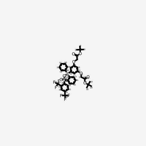 CC(C)(C)OC(=O)COc1cc(OCC(=O)OC(C)(C)C)cc(S(OS(=O)(=O)c2ccc(C(F)(F)F)cc2C(F)(F)F)(c2ccccc2)c2ccccc2)c1